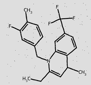 CCC1=CC(C)c2ccc(C(F)(F)F)cc2N1Cc1ccc(C)c(F)c1